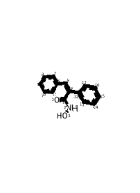 O=C(NO)C(=Cc1ccccc1)c1ccccc1